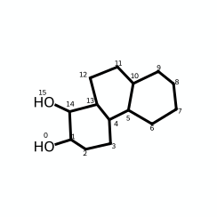 OC1CCC2C3CCCCC3CCC2C1O